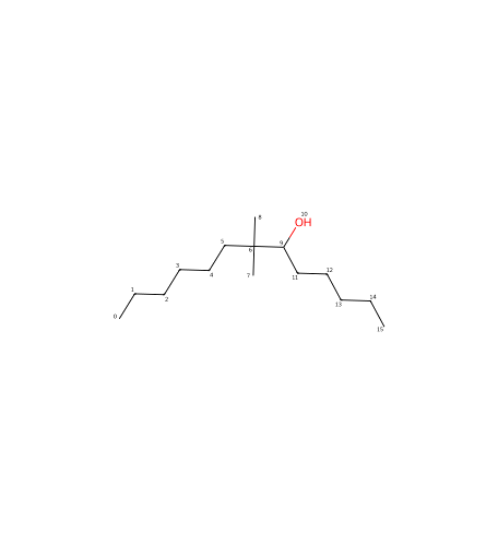 CCCCCCC(C)(C)C(O)CCCCC